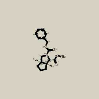 CC(C)(C)OC(=O)[C@@H]1[C@H]2CCC[C@H]2CN1C(=O)OCc1ccccc1